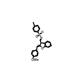 COc1ccc(/C=C2\Oc3ccccc3C2C=NS(=O)(=O)c2ccc(C)cc2)cc1